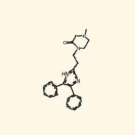 CN1CCN(CCc2nc(-c3ccccc3)c(-c3ccccc3)[nH]2)C(=O)C1